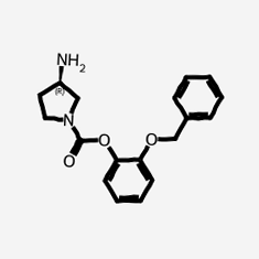 N[C@@H]1CCN(C(=O)Oc2ccccc2OCc2ccccc2)C1